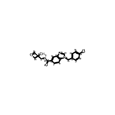 CC1(CNC(=O)c2ccc3c(c2)ncn3Cc2ccc(Cl)cc2)COC1